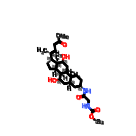 COC(=O)CC[C@@H](C)[C@H]1CC[C@H]2[C@@H]3[C@H](O)C[C@@H]4C[C@@H](NC(=O)CNC(=O)OC(C)(C)C)CC[C@]4(C)[C@H]3C[C@H](O)[C@]12C